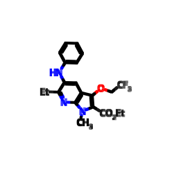 CCOC(=O)c1c(OCC(F)(F)F)c2cc(Nc3ccccc3)c(CC)nc2n1C